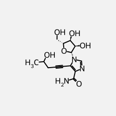 CC(O)CC#Cc1c(C(N)=O)ncn1[C@@H]1O[C@H](CO)[C@@H](O)[C@H]1O